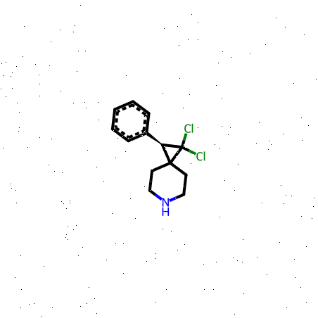 ClC1(Cl)[C@H](c2ccccc2)C12CCNCC2